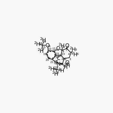 [2H]O[C@@]12CC([2H])([2H])C(=O)C3([2H])Oc4c(OC([2H])([2H])[2H])ccc5c4[C@@]31CCN(C([2H])([2H])[2H])[C@@H]2C5